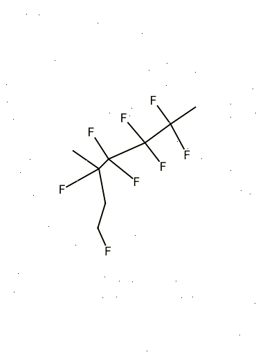 CC(F)(F)C(F)(F)C(F)(F)C(C)(F)CCF